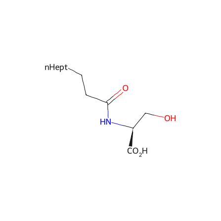 CCCCCCCCCC(=O)N[C@@H](CO)C(=O)O